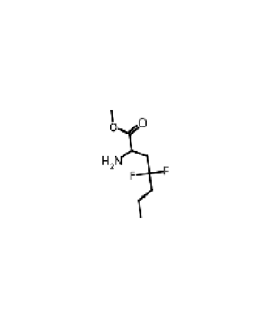 CCCC(F)(F)CC(N)C(=O)OC